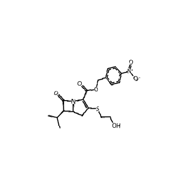 CC(C)C1C(=O)N2C(C(=O)OCc3ccc([N+](=O)[O-])cc3)=C(SCCO)CC12